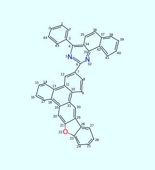 c1ccc(-c2nc(-c3ccc4c(c3)c3ccccc3c3cc5oc6ccccc6c5cc43)nc3c2ccc2ccccc23)cc1